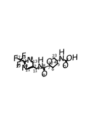 O=C(O)N[C@@H]1CC[C@@H](C(=O)NCc2cnc(C(F)(F)F)nc2)OC1